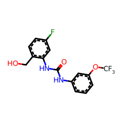 O=C(Nc1cccc(OC(F)(F)F)c1)Nc1cc(F)ccc1CO